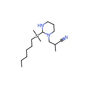 CCCCCC[Si](C)(C)C1NCCCN1CC(C)C#N